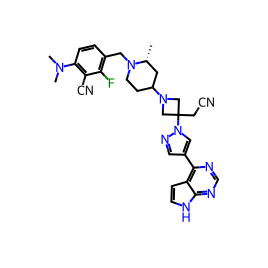 C[C@@H]1CC(N2CC(CC#N)(n3cc(-c4ncnc5[nH]ccc45)cn3)C2)CCN1Cc1ccc(N(C)C)c(C#N)c1F